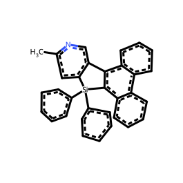 Cc1cc2c(cn1)-c1c(c3ccccc3c3ccccc13)[Si]2(c1ccccc1)c1ccccc1